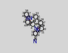 N#Cc1ccc(-n2c3ccccc3c3cc(C#N)ccc32)c(-c2c(C#N)cccc2-c2cccc(-n3c4ccccc4c4ccccc43)c2)c1